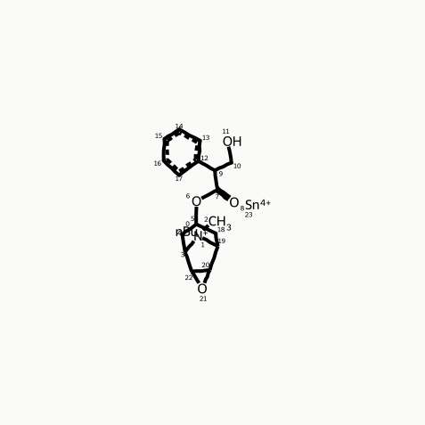 CCCC[N+]1(C)C2CC(OC(=O)C(CO)c3ccccc3)CC1C1OC12.[Sn+4]